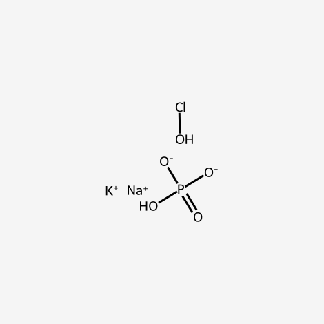 O=P([O-])([O-])O.OCl.[K+].[Na+]